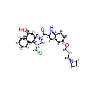 O=C(c1cc2cc(OCCCN3CCC3)ccc2[nH]1)N1CC(CCl)c2c1cc(O)c1ccccc21